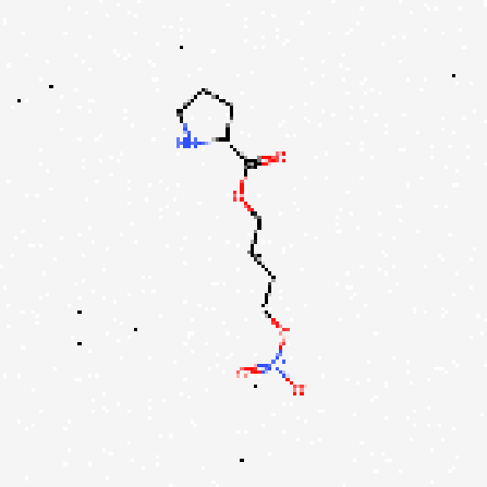 O=C(OCCCCO[N+](=O)[O-])[C@@H]1CCCN1